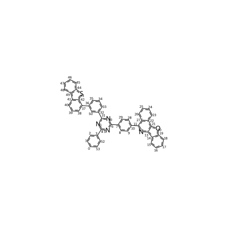 c1ccc(-c2nc(-c3ccc(-c4nc5c6ccccc6oc5c5ccccc45)cc3)nc(-c3cccc(-c4cccc5c4sc4ccccc45)c3)n2)cc1